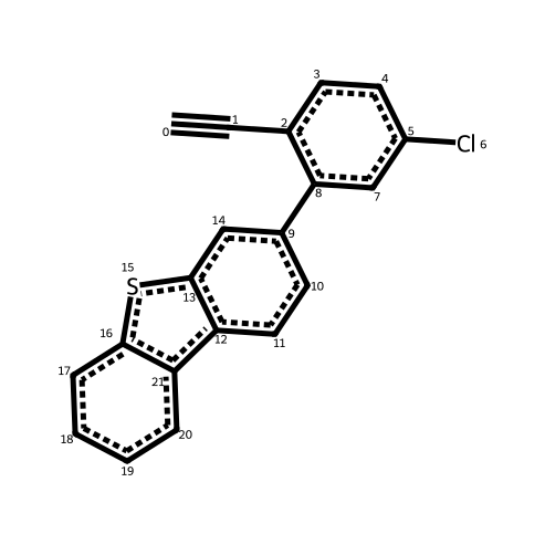 C#Cc1ccc(Cl)cc1-c1ccc2c(c1)sc1ccccc12